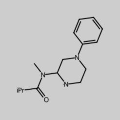 CC(C)C(=O)N(C)C1CN(c2ccccc2)CC[N]1